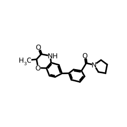 CC1Oc2ccc(-c3cccc(C(=O)N4CCCC4)c3)cc2NC1=O